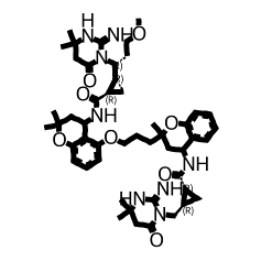 COCC[C@H]([C@@H]1C[C@H]1C(=O)NC1CC(C)(C)Oc2cccc(OCCCC3(C)CC(NC(=O)[C@@H]4C[C@H]4CN4C(=N)NC(C)(C)CC4=O)c4ccccc4O3)c21)N1C(=N)NC(C)(C)CC1=O